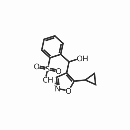 CS(=O)(=O)c1ccccc1C(O)c1cnoc1C1CC1